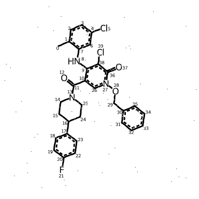 Cc1ccc(Cl)cc1Nc1c(C(=O)N2CCC(c3ccc(F)cc3)CC2)cn(OCc2ccccc2)c(=O)c1Cl